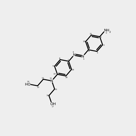 Nc1ccc(N=Nc2ccc(N(CCO)CCO)cc2)cc1